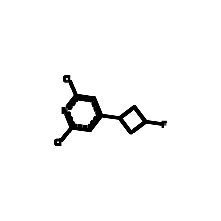 FC1CC(c2cc(Cl)nc(Cl)c2)C1